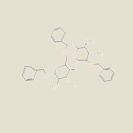 CCC1O[C@@H](O[C@@H]2C(COCc3ccccc3)O[C@@H](OCc3ccccc3)C(C)[C@H]2C)C(OCc2ccccc2)[C@@H](C)[C@@H]1C